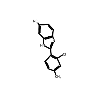 Cc1ccc(-c2nc3ccc(C#N)cc3[nH]2)c(Cl)c1